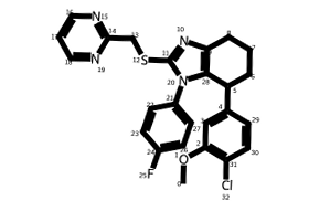 COc1cc(C2CCCc3nc(SCc4ncccn4)n(-c4ccc(F)cc4)c32)ccc1Cl